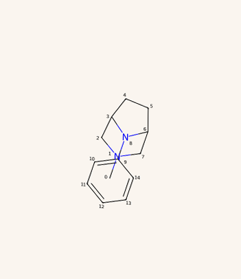 CN1CC2CCC(C1)N2c1ccccc1